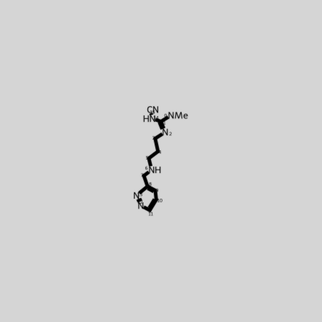 CN/C(=N/CCCNCc1cccnn1)NC#N